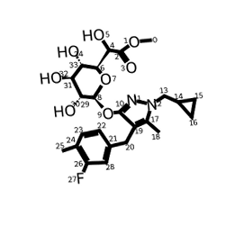 COC(=O)C(O)[C@H]1O[C@@H](Oc2nn(CC3CC3)c(C)c2Cc2ccc(C)c(F)c2)[C@H](O)[C@@H](O)[C@@H]1O